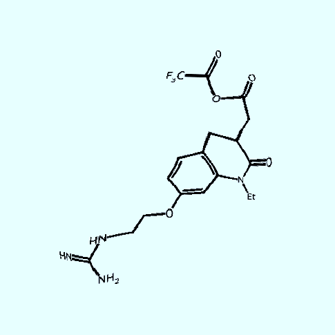 CCN1C(=O)C(CC(=O)OC(=O)C(F)(F)F)Cc2ccc(OCCNC(=N)N)cc21